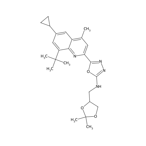 Cc1cc(-c2nnc(NCC3COC(C)(C)O3)o2)nc2c(C(C)(C)C)cc(C3CC3)cc12